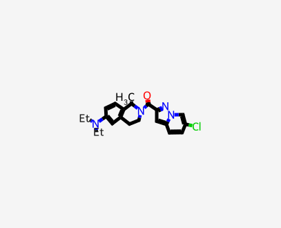 CCN(CC)c1ccc2c(c1)CCN(C(=O)c1cc3ccc(Cl)cn3n1)C2C